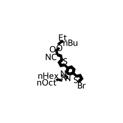 CCCCCCCCC(CCCCCC)Cn1nc2c(-c3ccc(Br)s3)ccc(-c3ccc(/C=C(\C#N)C(=O)OCC(CC)CCCC)s3)c2n1